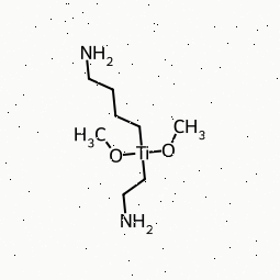 C[O][Ti]([CH2]CN)([CH2]CCCN)[O]C